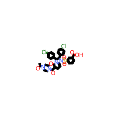 CC(=O)N1CCN(C(=O)c2ccc3n(c2=O)C(c2ccc(Cl)cc2)C(c2ccc(Cl)cc2)N3S(=O)(=O)c2cccc(C(=O)O)c2)CC1